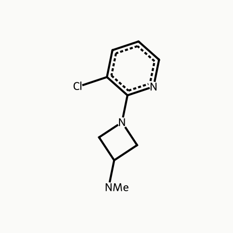 CNC1CN(c2ncccc2Cl)C1